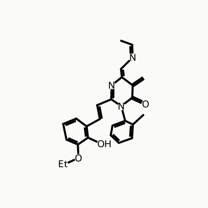 C=c1c(=O)n(-c2ccccc2C)c(/C=C/c2cccc(OCC)c2O)n/c1=C/N=C\C